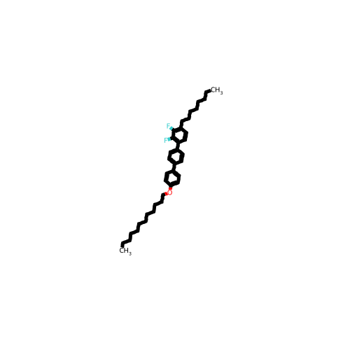 CCCCCCCCCCCCOc1ccc(-c2ccc(-c3ccc(CCCCCCCC)c(F)c3F)cc2)cc1